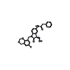 O=C(Cc1ccccc1)Nc1ccc2c(c1)/C(=N/O)C(=O)N2Cc1cc(F)cc2c1OCOC2